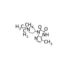 Cc1ccnc2c1[nH]c(=O)c(=O)n2C1CCN(C(C)(C)C)CC1